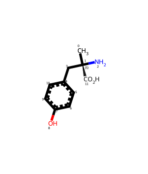 C[C@](N)(Cc1ccc(O)cc1)C(=O)O